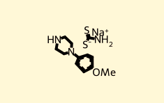 COc1ccc(N2CCNCC2)cc1.NC(=S)[S-].[Na+]